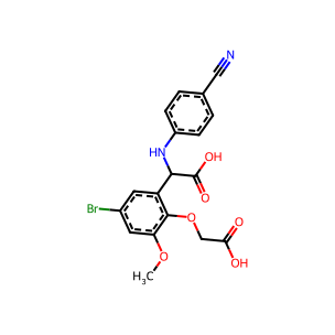 COc1cc(Br)cc(C(Nc2ccc(C#N)cc2)C(=O)O)c1OCC(=O)O